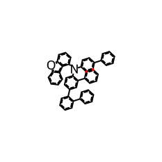 c1ccc(-c2ccc(N(c3ccc(-c4ccccc4-c4ccccc4)cc3-c3ccccc3)c3cccc4oc5ccccc5c34)cc2)cc1